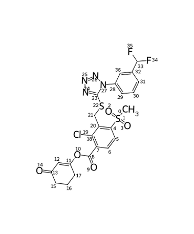 CS(=O)(=O)c1ccc(C(=O)OC2=CC(=O)CCC2)c(Cl)c1CSc1nnnn1-c1cccc(C(F)F)c1